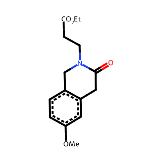 CCOC(=O)CCN1Cc2ccc(OC)cc2CC1=O